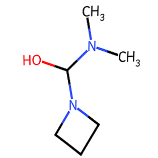 CN(C)C(O)N1CCC1